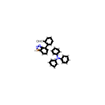 O=Cc1ccccc1-c1cccc2snnc12.c1ccc(N(c2ccccc2)c2ccccc2)cc1